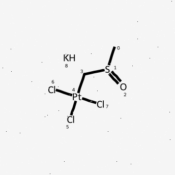 CS(=O)[CH2][Pt]([Cl])([Cl])[Cl].[KH]